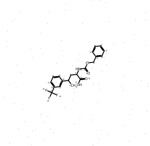 CC(CC(NC(=O)OCc1ccccc1)C(=O)O)c1cccc(C(F)(F)F)c1